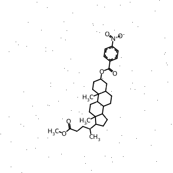 COC(=O)CCC(C)C1CCC2C3CCC4CC(OC(=O)c5ccc([N+](=O)[O-])cc5)CCC4(C)C3CCC12C